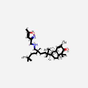 CCCC(C)(C)CC[C@@](C)(CCC(C)(C)[C@]1(C)CC[C@H]2C(C)(C)C(=O)C(C#N)=C[C@]2(C)[C@H]1CC(C)=O)CNCc1cc(C)on1